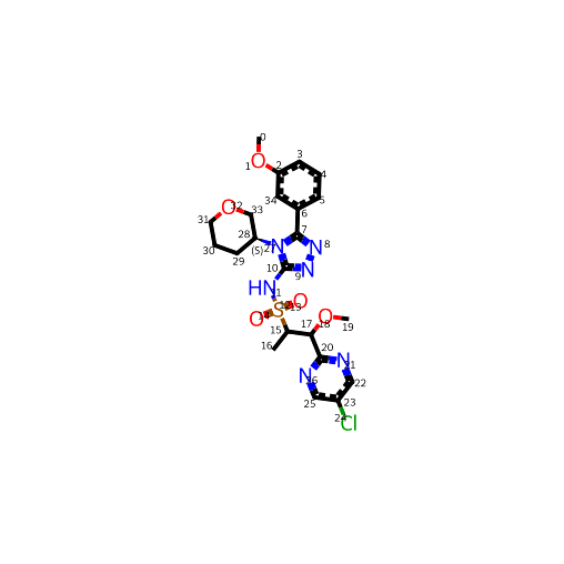 COc1cccc(-c2nnc(NS(=O)(=O)C(C)C(OC)c3ncc(Cl)cn3)n2[C@H]2CCCOC2)c1